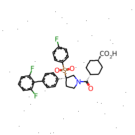 O=C(O)[C@H]1CC[C@H](C(=O)N2CC[C@@](c3ccc(-c4c(F)cccc4F)cc3)(S(=O)(=O)c3ccc(F)cc3)C2)CC1